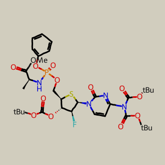 COC(=O)[C@H](C)NP(=O)(OC[C@H]1S[C@@H](n2ccc(N(C(=O)OC(C)(C)C)C(=O)OC(C)(C)C)nc2=O)[C@@H](F)[C@@H]1OC(=O)OC(C)(C)C)Oc1ccccc1